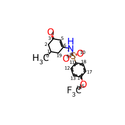 CC1CC(=O)C=C(NS(=O)(=O)c2ccc(OC(F)(F)F)cc2)C1